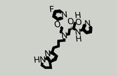 O=C(O)[C@H](CCN(CCCCc1ccc2c(n1)NCCC2)CCOc1cncc(F)c1)Nc1cccnc1